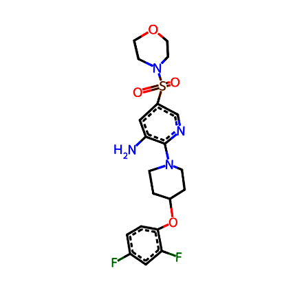 Nc1cc(S(=O)(=O)N2CCOCC2)cnc1N1CCC(Oc2ccc(F)cc2F)CC1